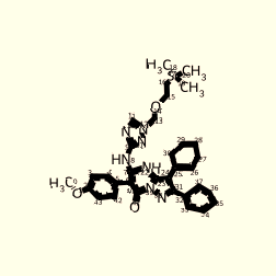 COc1ccc(-c2c(Nc3ncn(COCC[Si](C)(C)C)n3)[nH]c3c(C4=CCCCC4)c(-c4ccccc4)nn3c2=O)cc1